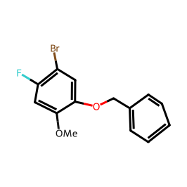 COc1cc(F)c(Br)cc1OCc1ccccc1